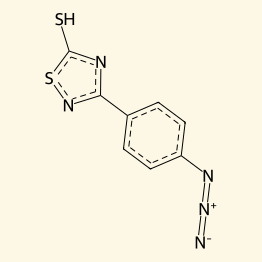 [N-]=[N+]=Nc1ccc(-c2nsc(S)n2)cc1